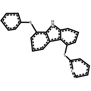 c1ccc(Sc2cccc3c2[nH]c2cccc(Sc4ccccc4)c23)cc1